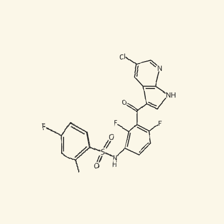 Cc1cc(F)ccc1S(=O)(=O)Nc1ccc(F)c(C(=O)c2c[nH]c3ncc(Cl)cc23)c1F